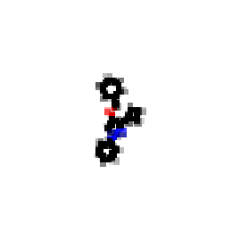 c1ccc(-n2cc(OCC3CCCCC3)c(C3CCC3)n2)cc1